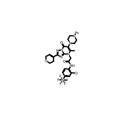 CC(=O)N1CCN(c2c(C)n(CC(=O)Nc3ccc(S(F)(F)(F)(F)F)cc3Cl)c3nc(C4=CCOCC4)nn3c2=O)CC1